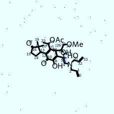 C=CCN(/C=C(\C=O)C1=C(O)C(=O)C(C2CCC(=O)C2(C)C)=C(C(C)OC(C)=O)[C@@]1(C)C(O)COC)CC=C